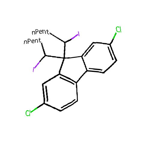 CCCCCC(I)C1(C(I)CCCCC)c2cc(Cl)ccc2-c2ccc(Cl)cc21